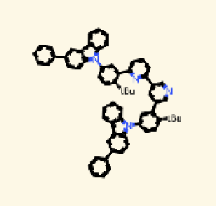 CC(C)(C)c1ccc(-n2c3ccccc3c3cc(-c4ccccc4)ccc32)cc1-c1cncc(-c2cccc(-c3cc(-n4c5ccccc5c5cc(-c6ccccc6)ccc54)ccc3C(C)(C)C)n2)c1